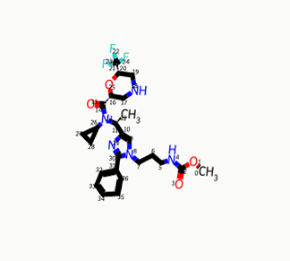 COC(=O)NCCCn1cc([C@@H](C)N(C(=O)[C@H]2CNC[C@@H](C(F)(F)F)O2)C2CC2)nc1-c1ccccc1